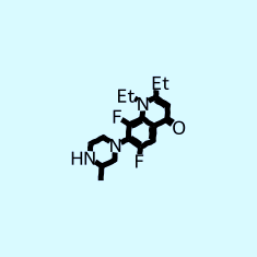 CCc1cc(=O)c2cc(F)c(N3CCNC(C)C3)c(F)c2n1CC